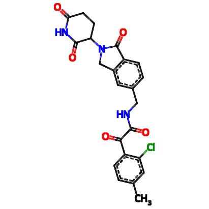 Cc1ccc(C(=O)C(=O)NCc2ccc3c(c2)CN(C2CCC(=O)NC2=O)C3=O)c(Cl)c1